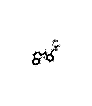 CC(C)(C)OC(=O)NCc1ccccc1C(=O)C1=CC=Cc2ccccc2N1